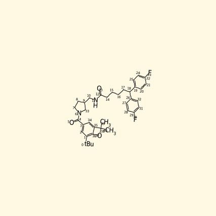 CC(C)(C)c1cc(C(=O)N2CCC(CNC(=O)CCCCC(c3ccc(F)cc3)c3ccc(F)cc3)C2)cc2c1OC2(C)C